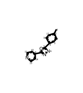 Cc1ccc(-c2nnc(-c3ccncc3)o2)cc1